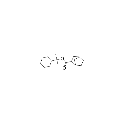 CC(C)(OC(=O)C1CC2CCC1C2)C1CCCCC1